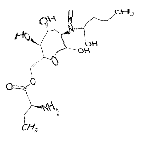 CCCC(O)N[C@H]1C(O)O[C@H](COC(=O)[C@@H](N)CC)[C@@H](O)[C@@H]1O